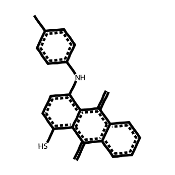 C=c1c2ccccc2c(=C)c2c(Nc3ccc(C)cc3)ccc(S)c12